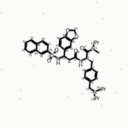 CC(C)N(C)C(=O)[C@@H](Cc1ccc(CN(C(C)C)C(C)C)cc1)NC(=O)CC(NS(=O)(=O)c1ccc2ccccc2c1)c1ccc2c(c1)OCO2